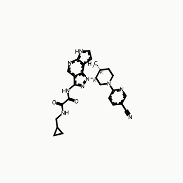 C[C@@H]1CCN(c2ccc(C#N)cn2)C[C@@H]1n1nc(NC(=O)C(=O)NCC2CC2)c2cnc3[nH]ccc3c21